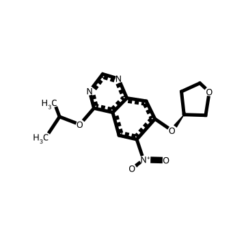 CC(C)Oc1ncnc2cc(O[C@H]3CCOC3)c([N+](=O)[O-])cc12